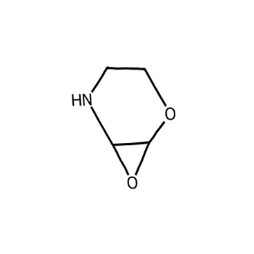 C1COC2OC2N1